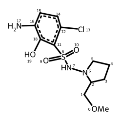 COCC1CCCN1NS(=O)(=O)c1c(Cl)ccc(N)c1O